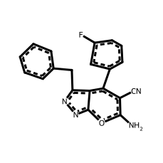 N#Cc1c(N)oc2nnc(Cc3ccccc3)c-2c1-c1cccc(F)c1